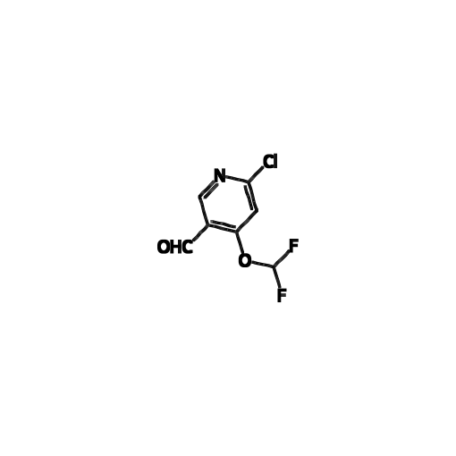 O=Cc1cnc(Cl)cc1OC(F)F